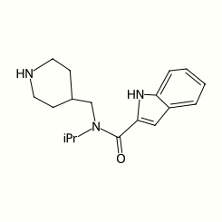 CC(C)N(CC1CCNCC1)C(=O)c1cc2ccccc2[nH]1